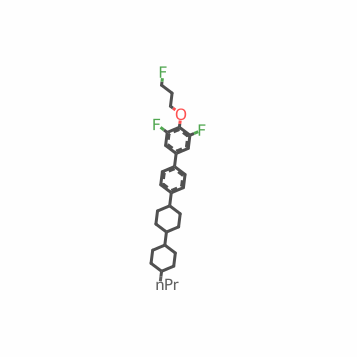 CCCC1CCC(C2CCC(c3ccc(-c4cc(F)c(OCCCF)c(F)c4)cc3)CC2)CC1